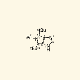 CC(C)N1C(C(C)(C)C)c2nc[nH]c2C1C(C)(C)C